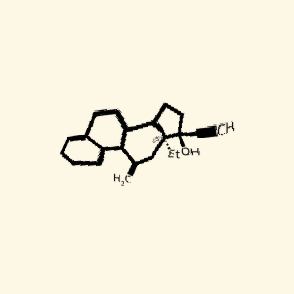 C#CC1(O)CCC2C3CCC4=CCCCC4C3C(=C)C[C@@]21CC